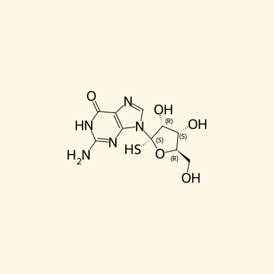 Nc1nc2c(ncn2[C@]2(S)O[C@H](CO)[C@@H](O)[C@H]2O)c(=O)[nH]1